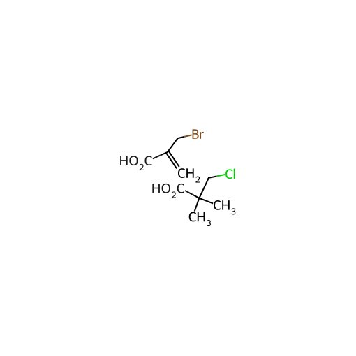 C=C(CBr)C(=O)O.CC(C)(CCl)C(=O)O